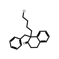 O=C1CCc2ccccc2C1(CCCCCl)Cc1ccccc1